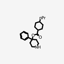 CCCC1CCC(C(=O)OC2(c3ccccc3)CCNCC2)CC1